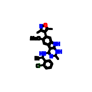 CCC(NC1=NC(C)Nc2[nH]c3cc(-c4c(C)noc4C)c(OC)cc3c21)c1ccccc1Cl